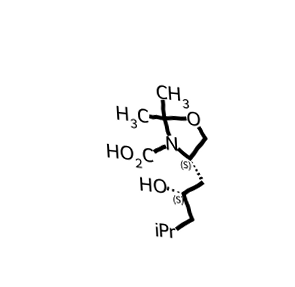 CC(C)C[C@H](O)C[C@H]1COC(C)(C)N1C(=O)O